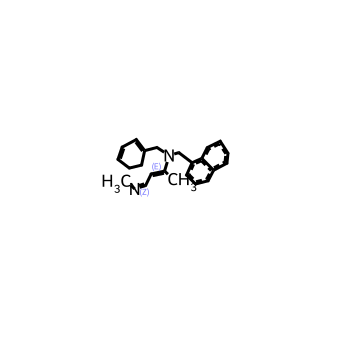 C/N=C\C=C(/C)N(CC1=CC=CCC1)Cc1cccc2ccccc12